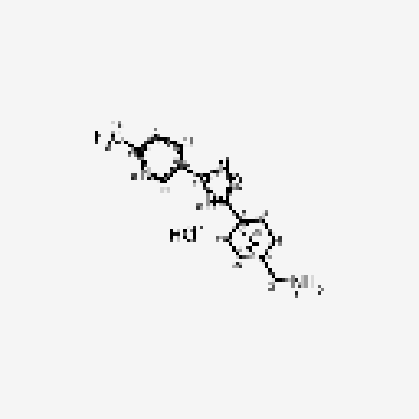 Cl.NCC12CCC(c3nc(-c4ccc(C(F)(F)F)nc4)no3)(CC1)CC2